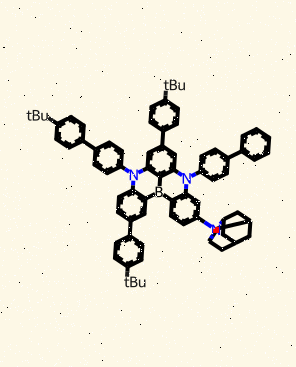 CC(C)(C)c1ccc(-c2ccc(N3c4ccc(-c5ccc(C(C)(C)C)cc5)cc4B4c5ccc(N6C7CC8CC(C7)CC6C8)cc5N(c5ccc(-c6ccccc6)cc5)c5cc(-c6ccc(C(C)(C)C)cc6)cc3c54)cc2)cc1